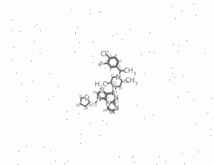 CC(c1ccc(Cl)c(F)c1)N1C[C@H](C)N(c2nc3nncn3c3c2ncn3C[C@@H]2CCCO2)C[C@H]1C